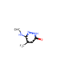 O=CNc1n[nH]c(=O)cc1C(F)(F)F